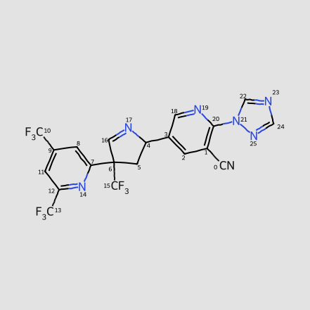 N#Cc1cc(C2CC(c3cc(C(F)(F)F)cc(C(F)(F)F)n3)(C(F)(F)F)C=N2)cnc1-n1cncn1